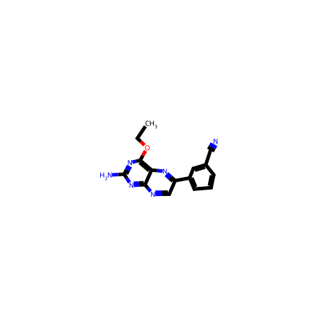 CCOc1nc(N)nc2ncc(-c3cccc(C#N)c3)nc12